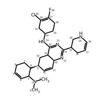 CN(C)C1C=CCCC1[C@@H]1C=CC2N=C(C3CC=CNC3)N=C(NC3CCC(F)=C(Cl)C3)C2C1